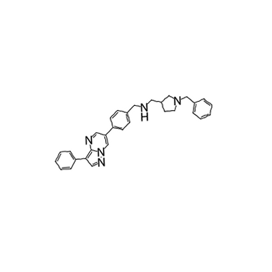 c1ccc(CN2CCC(CNCc3ccc(-c4cnc5c(-c6ccccc6)cnn5c4)cc3)C2)cc1